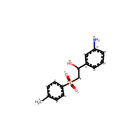 Cc1ccc(S(=O)(=O)CC(O)c2cccc(N)c2)cc1